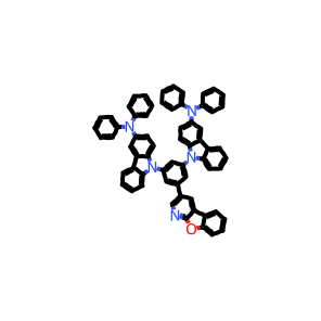 c1ccc(N(c2ccccc2)c2ccc3c(c2)c2ccccc2n3-c2cc(-c3cnc4oc5ccccc5c4c3)cc(-n3c4ccccc4c4cc(N(c5ccccc5)c5ccccc5)ccc43)c2)cc1